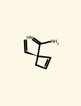 C=C[C@@]1(C(=N)N)C=CC1